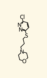 Clc1ccc(SCCCN2CCOCC2)nn1